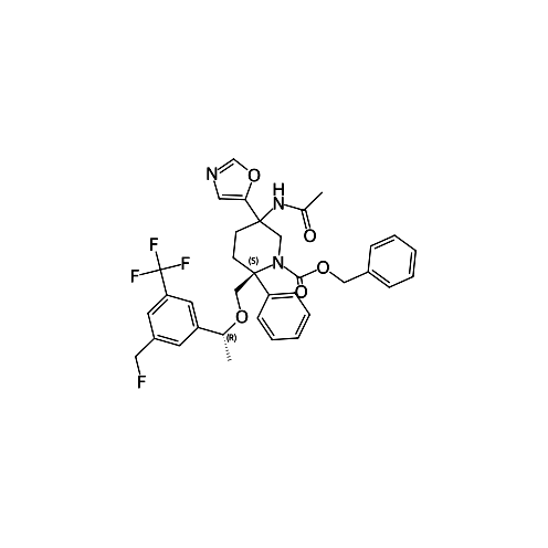 CC(=O)NC1(c2cnco2)CC[C@@](CO[C@H](C)c2cc(CF)cc(C(F)(F)F)c2)(c2ccccc2)N(C(=O)OCc2ccccc2)C1